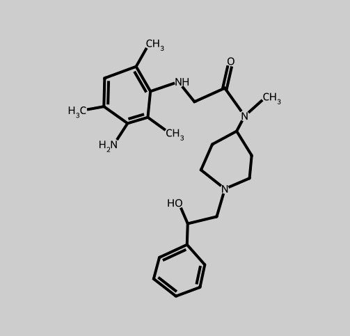 Cc1cc(C)c(NCC(=O)N(C)C2CCN(CC(O)c3ccccc3)CC2)c(C)c1N